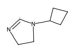 [C]1=NCCN1C1CCC1